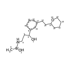 CB(O)NCCC(O)c1cccc(CCC2CCCCO2)c1